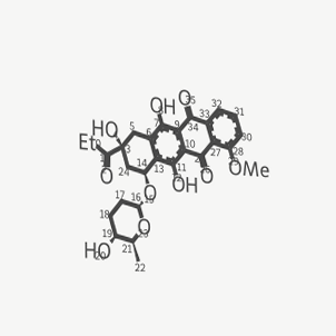 CCC(=O)[C@]1(O)Cc2c(O)c3c(c(O)c2[C@@H](O[C@H]2CC[C@H](O)[C@H](C)O2)C1)C(=O)c1c(OC)cccc1C3=O